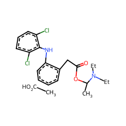 CC(=O)O.CCN(CC)C(C)OC(=O)Cc1ccccc1Nc1c(Cl)cccc1Cl